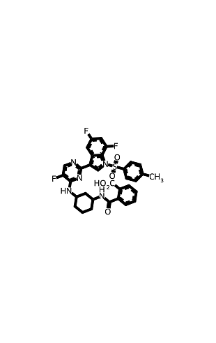 Cc1ccc(S(=O)(=O)n2cc(-c3ncc(F)c(NC4CCCC(NC(=O)c5ccccc5C(=O)O)C4)n3)c3cc(F)cc(F)c32)cc1